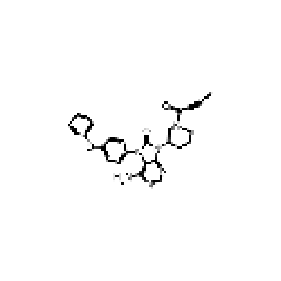 CC#CC(=O)N1CCC[C@@H](n2c(=O)n(-c3ccc(Oc4ccccc4)cc3)c3c(N)ncnc32)C1